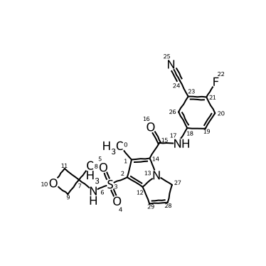 Cc1c(S(=O)(=O)NC2(C)COC2)c2n(c1C(=O)Nc1ccc(F)c(C#N)c1)CC=C2